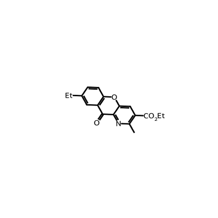 CCOC(=O)c1cc2oc3ccc(CC)cc3c(=O)c2nc1C